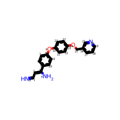 N=C/C=C(\N)c1ccc(Oc2ccc(OCc3cccnc3)cc2)cc1